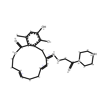 Cc1cc(O)c(Cl)c2c1C(=O)OCC/C=C/CC/C=C/C(=N\OCC(=O)N1CCNCC1)C2